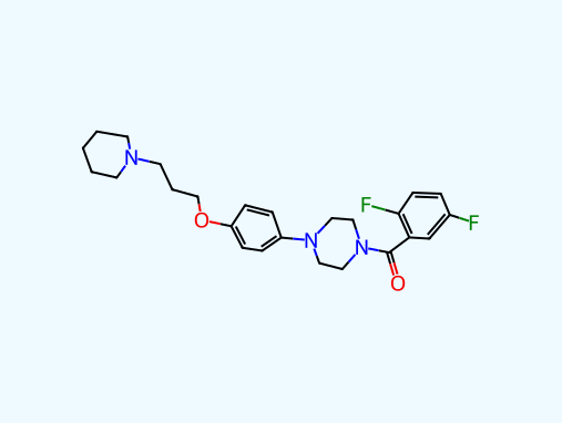 O=C(c1cc(F)ccc1F)N1CCN(c2ccc(OCCCN3CCCCC3)cc2)CC1